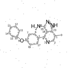 Cc1cnc(-c2ccc(Oc3ccccc3)cc2)c2c(N)n[nH]c12